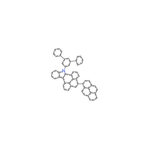 c1ccc(-c2cc(-c3ccccc3)cc(-n3c4ccccc4c4c5cccc6cc(-c7ccc8ccc9cccc%10ccc7c8c9%10)c7cccc(c7c65)c43)c2)cc1